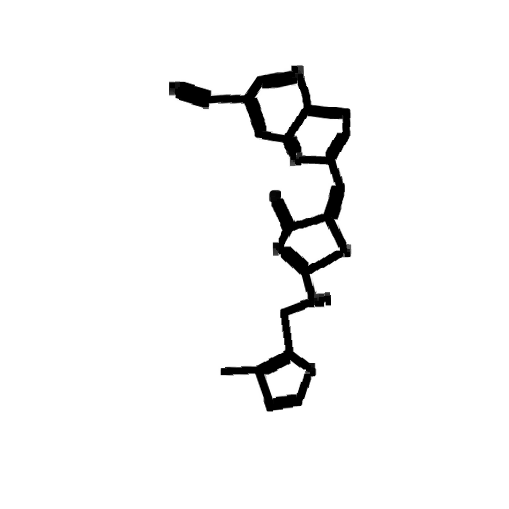 Cc1ccsc1CNC1=NC(=O)C(=Cc2ccc3ncc(C#N)cc3n2)S1